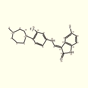 CN1CCCN(c2ccc(N/C=C3/C(=O)Nc4ccc(F)cc43)cc2C(F)(F)F)CC1